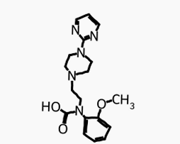 COc1ccccc1N(CCN1CCN(c2ncccn2)CC1)C(=O)O